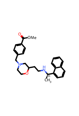 COC(=O)c1ccc(CN2CCOC(CCN[C@H](C)c3cccc4ccccc34)C2)cc1